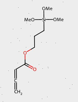 C=C=CC(=O)OCCC[Si](OC)(OC)OC